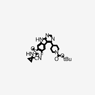 CC(C)(C)OC(=O)N1CCC(c2ncnc3[nH]c4cc(S(=O)(=O)NC5(C#N)CC5)c(F)cc4c23)CC1